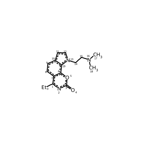 CCc1nc(=O)oc2c1ccc1ccn(CCN(C)C)c12